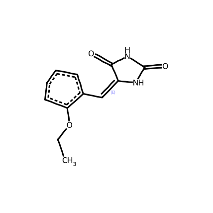 CCOc1ccccc1/C=C1/NC(=O)NC1=O